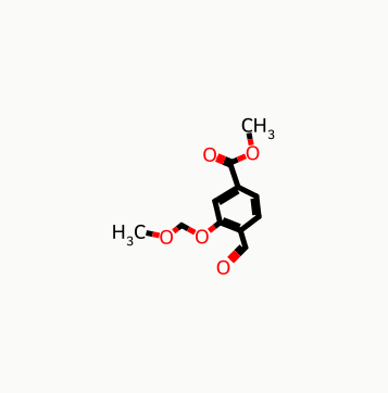 COCOc1cc(C(=O)OC)ccc1C=O